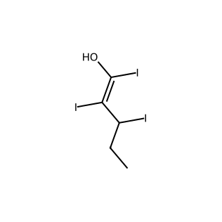 CCC(I)C(I)=C(O)I